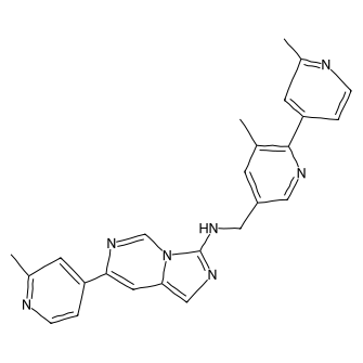 Cc1cc(-c2cc3cnc(NCc4cnc(-c5ccnc(C)c5)c(C)c4)n3cn2)ccn1